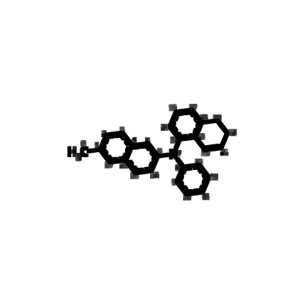 Cc1ccc2cc(N(c3ccccc3)c3cccc4c3C=CCC4)ccc2c1